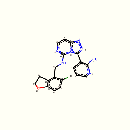 Nc1ncccc1-c1nnc2ccnc(NCc3c(F)ccc4c3CCO4)n12